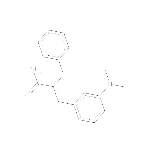 CN(C)c1cccc(CC(Sc2cc[c]cc2)C(N)=O)c1